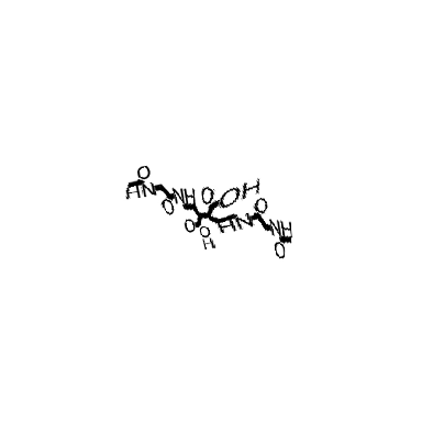 CC(=O)NCC(=O)NCCC(C(=O)O)=C(CCNC(=O)CNC(C)=O)C(=O)O